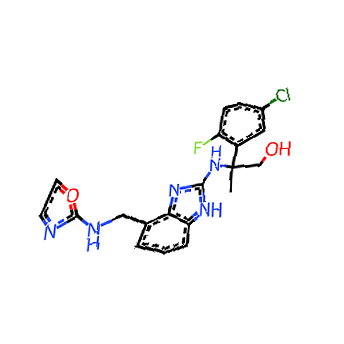 CC(CO)(Nc1nc2c(CNc3ncco3)cccc2[nH]1)c1cc(Cl)ccc1F